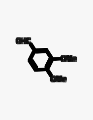 [CH2]Oc1ccc(C=O)cc1OC